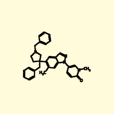 Cc1cc2c(cnn2-c2ccc(=O)n(C)c2)cc1C1(Cc2ccccc2)CCN(Cc2ccccc2)C1